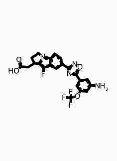 Nc1cc(OC(F)(F)F)cc(-c2nc(-c3ccc4c(c3)c(F)c3n4CCC3CC(=O)O)no2)c1